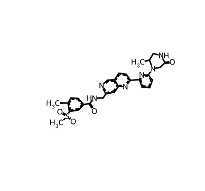 Cc1ccc(C(=O)NCc2cc3nc(-c4cccc(N5CC(=O)NCC5C)n4)ccc3cn2)cc1S(C)(=O)=O